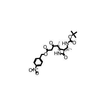 C[C@@H](NC(=O)OC(C)(C)C)[C@H]1C(=O)N[C@@H]1[C@@H](C)C(=O)CC(=O)OCc1ccc([N+](=O)[O-])cc1